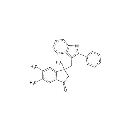 Cc1cc2c(cc1C)C(C)(Cc1c(-c3ccccc3)[nH]c3ccccc13)CC2=O